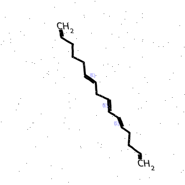 C=CCC/C=C/C=C/C/C=C/CCCC=C